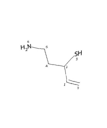 C=CC(S)CCN